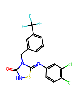 O=c1[nH]s/c(=N\c2ccc(Cl)c(Cl)c2)n1Cc1cccc(C(F)(F)F)c1